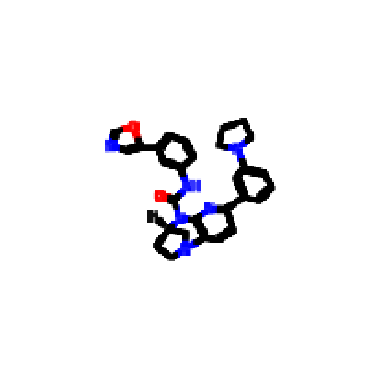 O=C(Nc1cccc(-c2cnco2)c1)N1c2nc(-c3cccc(N4CCCC4)c3)ccc2N2CC[C@H]1C2